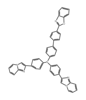 c1ccc2oc(-c3ccc(-c4ccc(N(c5ccc(-c6cn7ccccc7n6)cc5)c5ccc(-c6cn7ccccc7n6)cc5)cc4)cc3)nc2c1